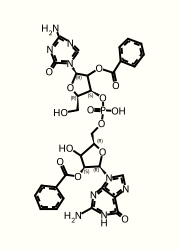 Nc1ncn([C@@H]2O[C@H](CO)[C@H](OP(=O)(O)OC[C@H]3O[C@@H](n4cnc5c(=O)[nH]c(N)nc54)[C@@H](OC(=O)c4ccccc4)C3O)C2OC(=O)c2ccccc2)c(=O)n1